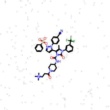 Cc1c(-c2ccnn2-c2ccc(C#N)cc2)n(C(=O)NC2CCN(C(=O)CC[N+](C)(C)C)CC2)c(=O)n1-c1cccc(C(F)(F)F)c1.O=S(=O)([O-])c1ccccc1